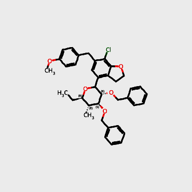 CC[C@H]1OC(c2cc(Cc3ccc(OC)cc3)c(Cl)c3c2CCO3)[C@H](OCc2ccccc2)[C@@H](OCc2ccccc2)[C@@H]1C